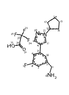 NCc1cc(F)cc(-c2cnn(C3CCCC3)c2)c1.O=C(O)C(F)(F)F